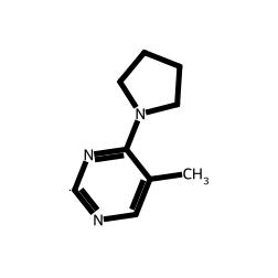 Cc1cn[c]nc1N1CCCC1